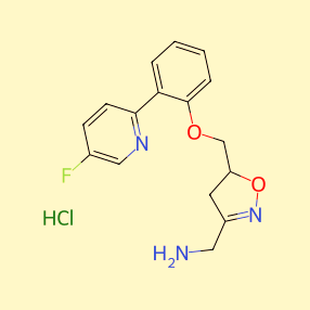 Cl.NCC1=NOC(COc2ccccc2-c2ccc(F)cn2)C1